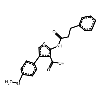 COc1ccc(-c2csc(NC(=O)CCc3ccccc3)c2C(=O)O)cc1